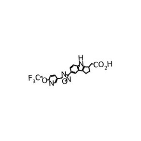 O=C(O)CC1CCc2c1[nH]c1ccc(-c3noc(-c4ccc(OCC(F)(F)F)nc4)n3)cc21